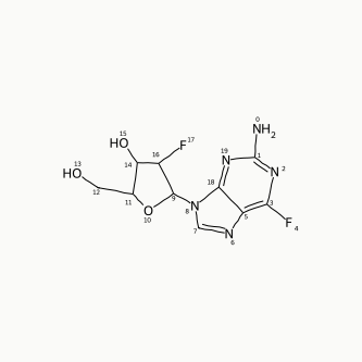 Nc1nc(F)c2ncn(C3OC(CO)C(O)C3F)c2n1